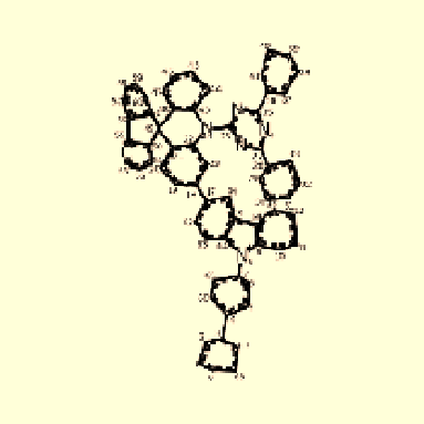 c1ccc(-c2ccc(-n3c4ccccc4c4cc(-c5ccc6c(c5)N(c5nc(-c7ccccc7)nc(-c7ccccc7)n5)c5ccccc5C65c6ccccc6-c6ccccc65)ccc43)cc2)cc1